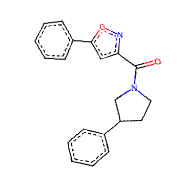 O=C(c1cc(-c2ccccc2)on1)N1CCC(c2ccccc2)C1